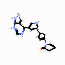 O=C1CCCN1c1ccc(-c2cncc(-c3ncnc4n[nH]cc34)c2)cc1